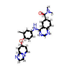 Cc1cc(Nc2ncnc3ccc(C(=O)N(C)C)cc23)ccc1Oc1ccn2ccnc2c1